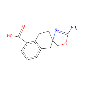 NC1=NC2(CCc3c(cccc3C(=O)O)C2)CO1